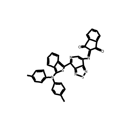 Cc1ccc(N(c2ccc(C)cc2)c2sc(-c3ncc(N=c4c(=O)c5ccccc5c4=O)c4nsnc34)c3ccccc23)cc1